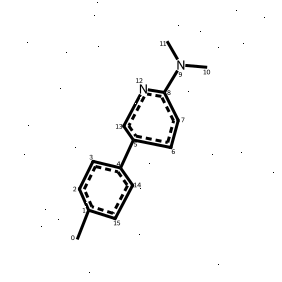 Cc1ccc(-c2ccc(N(C)C)nc2)cc1